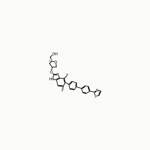 OC[C@@H]1CC(Oc2nc3c(F)c(-c4ccc(-c5ccc(-c6nccs6)cc5)cc4)c(F)cc3[nH]2)CO1